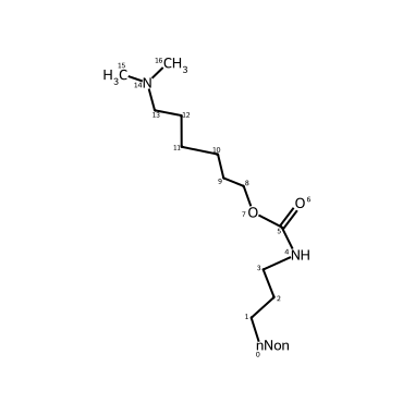 CCCCCCCCCCCCNC(=O)OCCCCCCN(C)C